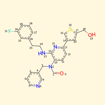 O=CN(Cc1cccnc1)c1ccc(-c2csc(CO)c2)nc1NCCc1cccc(F)c1